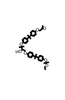 CCOC(C)(C)Oc1ccc(C(C)(C)c2ccc(OCC(O)C(C)(C)Oc3ccc(C(C)(C)c4ccc(OCC5CO5)cc4)cc3)cc2)cc1